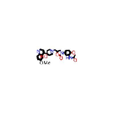 COc1ccc2nccc(C3(O)CCN(CC4CN(c5ccc6c(c5)NC(=O)CO6)C(=O)O4)CC3)c2c1